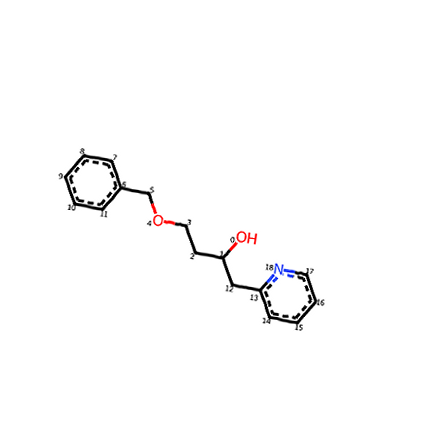 OC(CCOCc1ccccc1)Cc1ccccn1